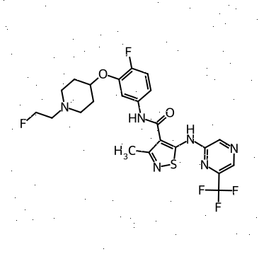 Cc1nsc(Nc2cncc(C(F)(F)F)n2)c1C(=O)Nc1ccc(F)c(OC2CCN(CCF)CC2)c1